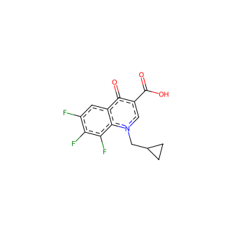 O=C(O)c1cn(CC2CC2)c2c(F)c(F)c(F)cc2c1=O